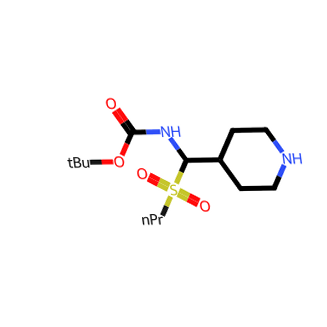 CCCS(=O)(=O)C(NC(=O)OC(C)(C)C)C1CCNCC1